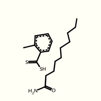 CCCCCCCCCC(N)=O.Cc1ccccc1C(=S)S